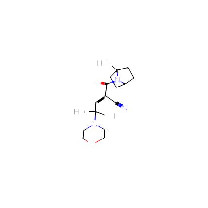 [CH2]C12CCC(CC1)N2C(=O)C(C#N)=CC(C)(C)N1CCOCC1